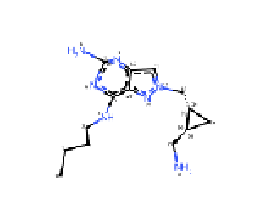 CCCCNc1nc(N)nc2cn(C[C@@H]3C[C@H]3CN)nc12